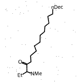 CCCCCCCCCCCCCCCCCCCCCC(=O)C(CC)NC